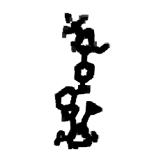 CCn1cc(C(F)(F)F)nc1-c1ccc(N[C@@H]2CCCn3nc(-c4c(OC)ncnc4C4CC4)cc32)cc1